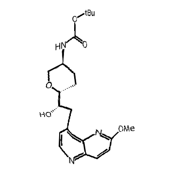 COc1ccc2nccc(C[C@H](O)[C@H]3CC[C@H](NC(=O)OC(C)(C)C)CO3)c2n1